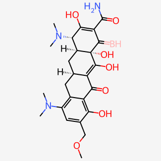 B=C1C(C(N)=O)=C(O)[C@@H](N(C)C)[C@@H]2C[C@@H]3Cc4c(N(C)C)cc(COC)c(O)c4C(=O)C3=C(O)[C@]12O